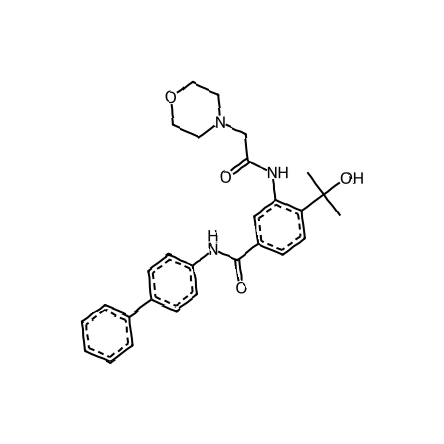 CC(C)(O)c1ccc(C(=O)Nc2ccc(-c3ccccc3)cc2)cc1NC(=O)CN1CCOCC1